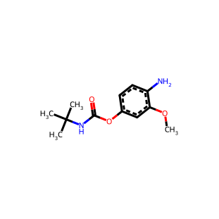 COc1cc(OC(=O)NC(C)(C)C)ccc1N